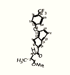 COC[C@H](C)NC(=O)c1ccc2c(Oc3ccc(C(F)(F)F)cc3)cccc2c1